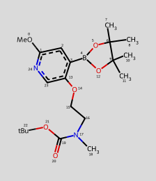 COc1cc(B2OC(C)(C)C(C)(C)O2)c(OCCN(C)C(=O)OC(C)(C)C)cn1